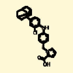 O=C(O)c1cccn1Cc1ccc(Nc2ccc(C34CC5CC(CC(C5)C3)C4)cc2Cl)cc1